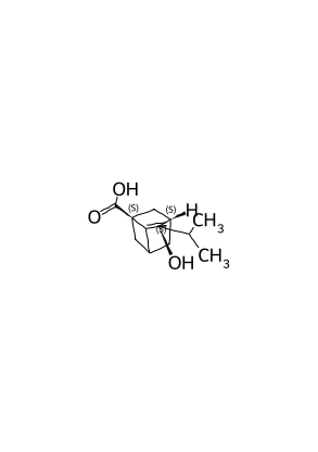 CC(C)[C@@]1(O)C=C2C3C[C@H]1C[C@@]2(C(=O)O)C3